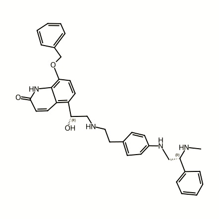 CN[C@@H](CNc1ccc(CCNC[C@H](O)c2ccc(OCc3ccccc3)c3[nH]c(=O)ccc23)cc1)c1ccccc1